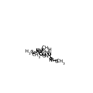 C=CC(=O)Nc1cc(Oc2cnc3[nH]cc(-c4cnn(CCOC)c4)c3n2)ccc1N(C)CCN(C)C